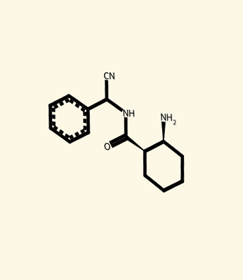 N#CC(NC(=O)[C@@H]1CCCC[C@@H]1N)c1ccccc1